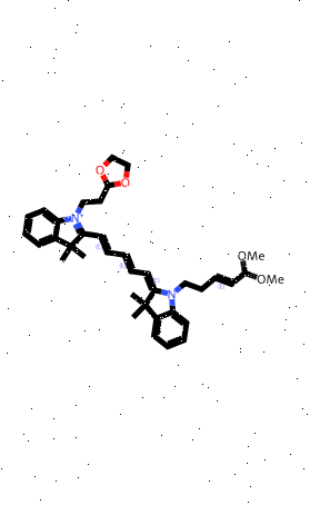 COC(/C=C/CCN1/C(=C/C=C/C=C/C2=[N+](CCC3OCCO3)c3ccccc3C2(C)C)C(C)(C)c2ccccc21)OC